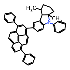 CC1CCCC2(C)C1c1cc(-c3cc(-c4ccccc4)c4ccc5ccc(-c6ccccc6)c6ccc3c4c56)ccc1N2c1ccccc1